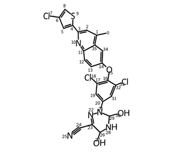 Cc1cc(-c2cc(Cl)cs2)nc2ccc(Oc3c(Cl)cc(N4N=C(C#N)C(O)NC4O)cc3Cl)cc12